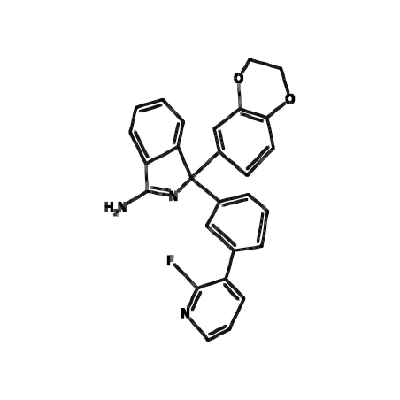 NC1=NC(c2cccc(-c3cccnc3F)c2)(c2ccc3c(c2)OCCO3)c2ccccc21